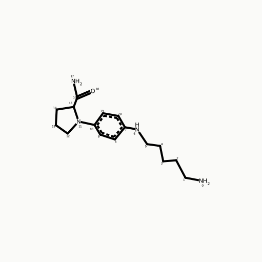 NCCCCCNc1ccc(N2CCCC2C(N)=O)cc1